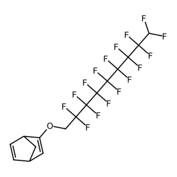 FC(F)C(F)(F)C(F)(F)C(F)(F)C(F)(F)C(F)(F)C(F)(F)C(F)(F)COC1=CC2C=CC1C2